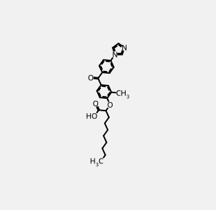 CCCCCCCCC(Oc1ccc(C(=O)c2ccc(-n3ccnc3)cc2)cc1C)C(=O)O